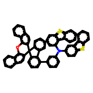 c1cc(-c2cccc3c2-c2ccccc2C32c3ccc4ccccc4c3Oc3c2ccc2ccccc32)cc(N(c2ccc3sc4ccccc4c3c2)c2cccc3sc4ccccc4c23)c1